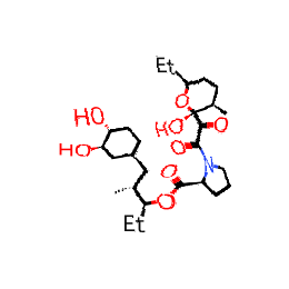 CCC1CC[C@@H](C)[C@](O)(C(=O)C(=O)N2CCC[C@H]2C(=O)O[C@@H](CC)[C@H](C)C[C@@H]2CC[C@@H](O)[C@H](O)C2)O1